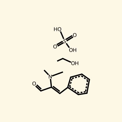 CCO.CN(C)C(C=O)=Cc1ccccc1.O=S(=O)(O)O